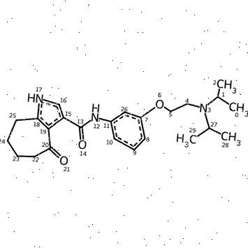 CC(C)N(CCOc1cccc(NC(=O)c2c[nH]c3c2C(=O)CCCC3)c1)C(C)C